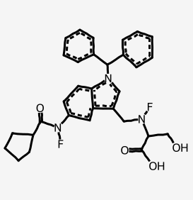 O=C(O)C(CO)N(F)Cc1cn(C(c2ccccc2)c2ccccc2)c2ccc(N(F)C(=O)C3CCCC3)cc12